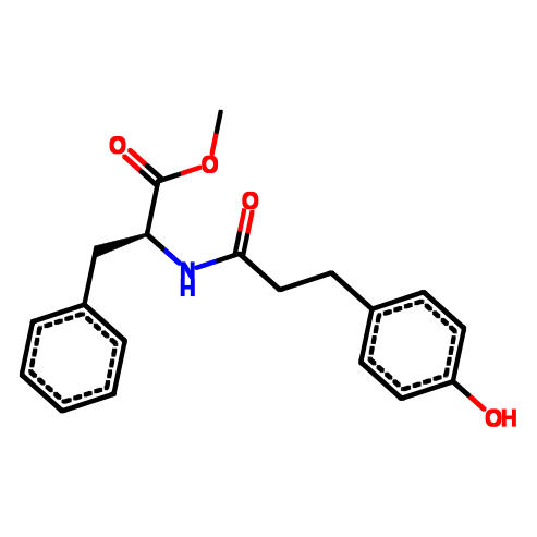 COC(=O)[C@H](Cc1ccccc1)NC(=O)CCc1ccc(O)cc1